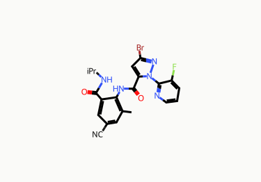 Cc1cc(C#N)cc(C(=O)NC(C)C)c1NC(=O)c1cc(Br)nn1-c1ncccc1F